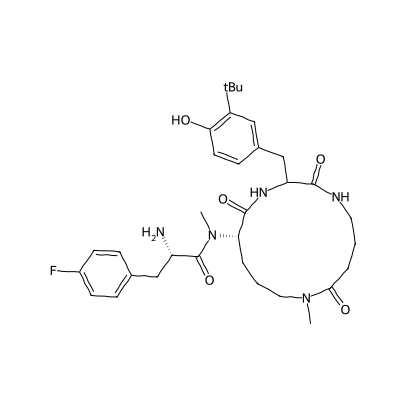 CN1CCC[C@H](N(C)C(=O)[C@@H](N)Cc2ccc(F)cc2)C(=O)NC(Cc2ccc(O)c(C(C)(C)C)c2)C(=O)NCCCC1=O